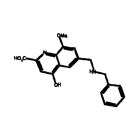 COc1cc(CNCc2ccccc2)cc2c(O)cc(C(=O)O)nc12